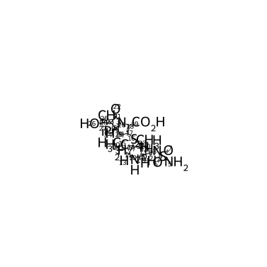 [2H]C([2H])(NS(N)(=O)=O)[C@@]1([2H])NC([2H])([2H])[C@@](C)(SC2=C(C(=O)O)N3C(=O)[C@H]([C@](C)(O)C(C)C)[C@H]3[C@H]2C)C1([2H])C